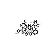 CCO[C@H](c1ncc(Cl)cn1)[C@H](C)S(=O)(=O)Nc1nnc(-c2cc(C)n[nH]2)n1-c1c(OC)cccc1OC